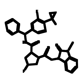 Cn1c(=O)n(CC(=O)N2CC(F)CC2C(=O)NC(c2ccccc2)c2ccc(C3(C)CC3)c(F)c2)c2ccccc21